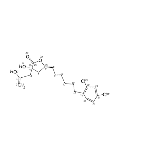 C=C(O)C[C@]1(O)C[C@H](CCCCCCc2ccc(Cl)cc2Cl)OC1=O